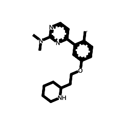 [CH2]c1ccc(OCCC2CCCCN2)cc1-c1ccnc(N(C)C)n1